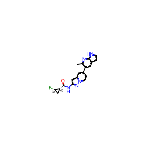 Cc1nc2[nH]ccc2cc1-c1ccn2nc(NC(=O)[C@@H]3C[C@@H]3F)cc2c1